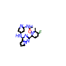 CC(=O)Nc1cc(Nc2nc(-c3ccc(F)c(C)n3)nn3cccc23)ccn1